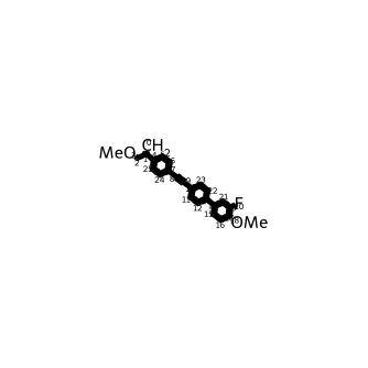 C=C(COC)c1ccc(C#Cc2ccc(-c3ccc(OC)c(F)c3)cc2)cc1